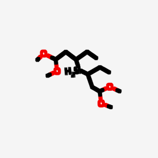 CCC(CC(OC)OC)[SiH2]C(CC)CC(OC)OC